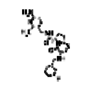 Cc1nc(N)ccc1CNC(=O)[C@@H]1CCc2ncc(NCc3cccc(F)c3)c(=O)n21